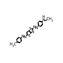 CCNc1ccc(N=Nc2nc3sc(N=Nc4ccc(C)cc4)cc3s2)cc1